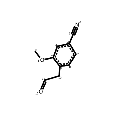 COc1cc(C#N)ccc1CC=O